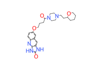 O=C(CCCOc1ccc2nc3[nH]c(=O)[nH]c3cc2c1)N1CCN(CCC2CCCCO2)CC1